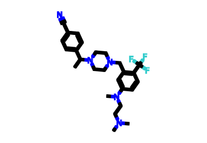 CC(c1ccc(C#N)cc1)N1CCN(Cc2cc(N(C)CCN(C)C)ccc2C(F)(F)F)CC1